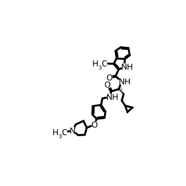 Cc1c(C(=O)N[C@@H](CCC2CC2)C(=O)NCc2ccc(OC3CCN(C)CC3)cc2)[nH]c2ccccc12